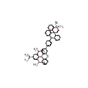 CC(C)c1cc(C(C)C)c(B2c3ccccc3Sc3cc(-c4ccc(N5c6ccccc6C6(c7ccccc75)c5ccccc5[Si](C)(C)c5ccccc56)cc4)ccc32)c(C(C)C)c1